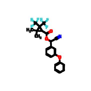 CC1(C)C(C(=O)OC(C#N)c2cccc(Oc3ccccc3)c2)C1(C(F)(F)F)C(F)(F)F